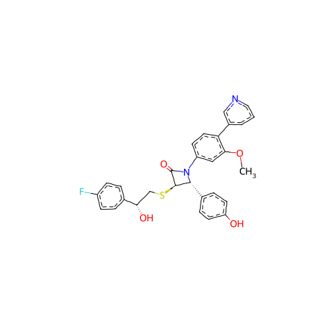 COc1cc(N2C(=O)[C@H](SC[C@H](O)c3ccc(F)cc3)[C@H]2c2ccc(O)cc2)ccc1-c1cccnc1